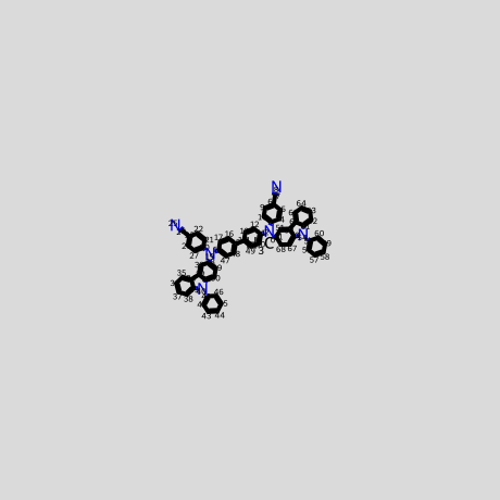 CC1(N(c2ccc(C#N)cc2)c2ccc(-c3ccc(N(c4ccc(C#N)cc4)c4ccc5c(c4)c4ccccc4n5-c4ccccc4)cc3)cc2)C=c2c(n(-c3ccccc3)c3ccccc23)=CC1